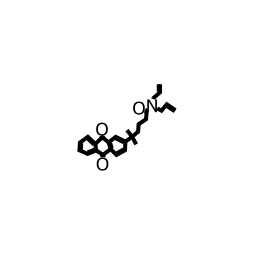 C=CCN(CC=C)C(=O)CCCC(C)(C)c1ccc2c(c1)C(=O)c1ccccc1C2=O